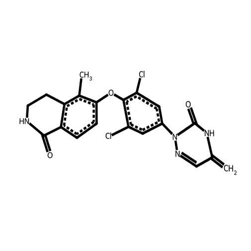 C=C1C=NN(c2cc(Cl)c(Oc3ccc4c(c3C)CCNC4=O)c(Cl)c2)C(=O)N1